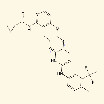 CC/C=C(NC(=O)Nc1ccc(F)c(C(C)(F)F)c1)\C(C)=C/COc1ccnc(NC(=O)C2CC2)c1